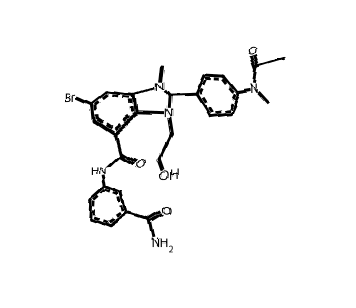 CC(=O)N(C)c1ccc(C2N(C)c3cc(Br)cc(C(=O)Nc4cccc(C(N)=O)c4)c3N2CCO)cc1